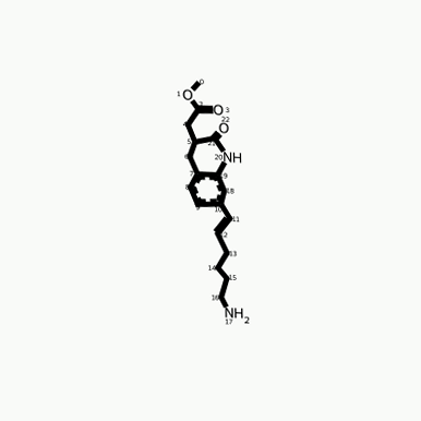 COC(=O)CC1Cc2ccc(C=CCCCCN)cc2NC1=O